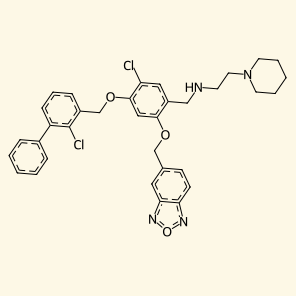 Clc1cc(CNCCN2CCCCC2)c(OCc2ccc3nonc3c2)cc1OCc1cccc(-c2ccccc2)c1Cl